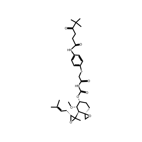 CO[C@H]1[C@H](C2(C)O[C@@H]2CC=C(C)C)[C@]2(CC[C@H]1OC(=O)NC(=O)CSc1ccc(NC(=O)CCC(=O)C(C)(C)C)cc1)CO2